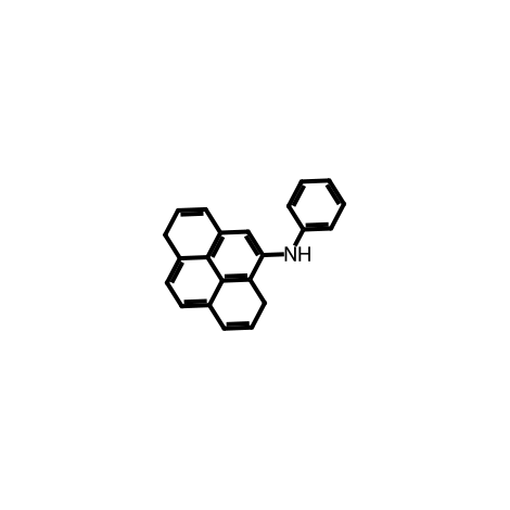 C1=Cc2cc(Nc3ccccc3)c3c4c(ccc(c24)C1)C=CC3